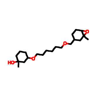 CC1(O)CCCC(OCCCCCCOCC2CCC3OC3(C)C2)C1